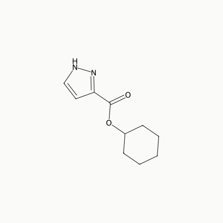 O=C(OC1CCCCC1)c1cc[nH]n1